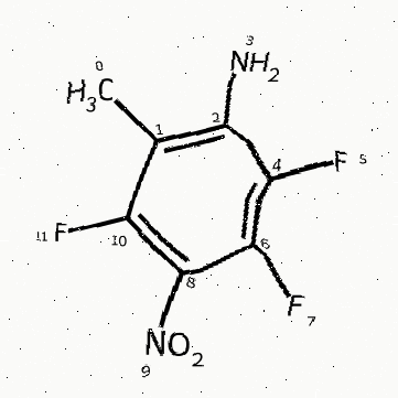 Cc1c(N)c(F)c(F)c([N+](=O)[O-])c1F